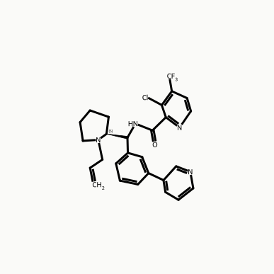 C=CCN1CCCC[C@H]1C(NC(=O)c1nccc(C(F)(F)F)c1Cl)c1cccc(-c2cccnc2)c1